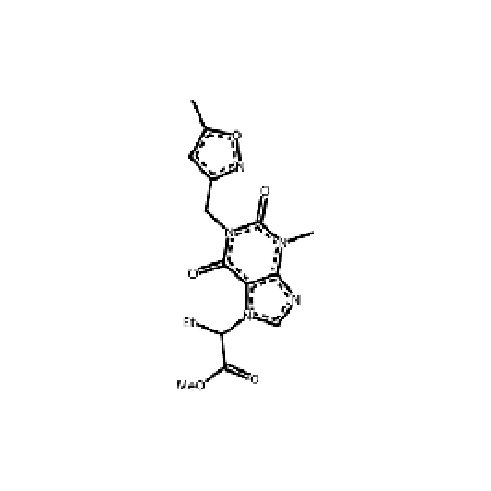 CCC(C(=O)OC)n1cnc2c1c(=O)n(Cc1cc(C)on1)c(=O)n2C